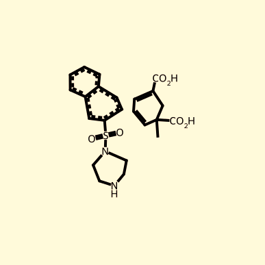 CC1(C(=O)O)C=CC=C(C(=O)O)C1.O=S(=O)(c1ccc2ccccc2c1)N1CCNCC1